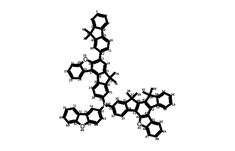 CC1(C)c2ccccc2-c2ccc(-c3cc4c(c5c3oc3ccccc35)-c3ccc(N(c5ccc6c(c5)C(C)(C)c5c7c(c8c(oc9ccccc98)c5-6)-c5ccccc5C7(C)C)c5ccc6oc7ccccc7c6c5)cc3C4(C)C)cc21